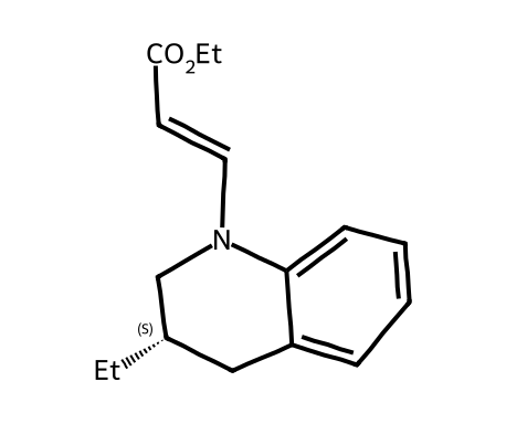 CCOC(=O)C=CN1C[C@@H](CC)Cc2ccccc21